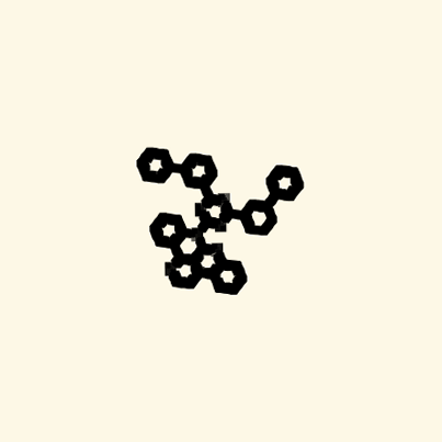 C1=C(c2ccccc2)CCC=C1c1nc(-c2cccc(-c3ccccc3)c2)nc(N2c3ccccc3-c3nccc4c3c2nc2ccccc24)n1